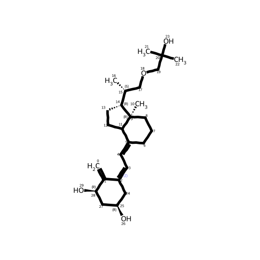 C=C1/C(=C\C=C2CCC[C@@]3(C)C2CC[C@@H]3[C@H](C)COCC(C)(C)O)C[C@@H](O)C[C@H]1O